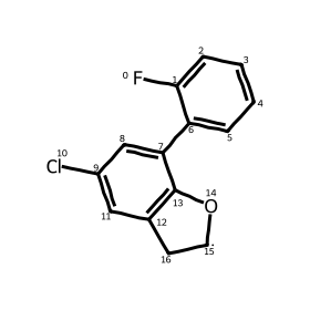 Fc1ccccc1-c1cc(Cl)cc2c1O[CH]C2